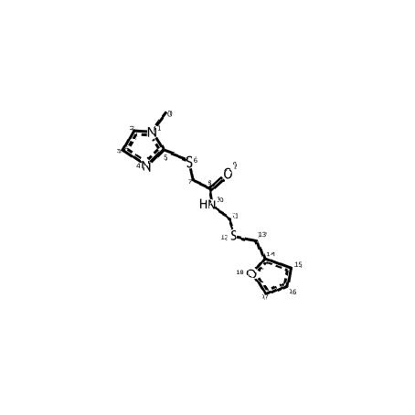 Cn1ccnc1SCC(=O)NCSCc1ccco1